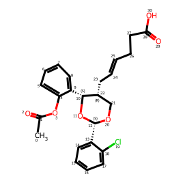 CC(=O)Oc1ccccc1[C@H]1O[C@@H](c2ccccc2Cl)OC[C@H]1CC=CCCC(=O)O